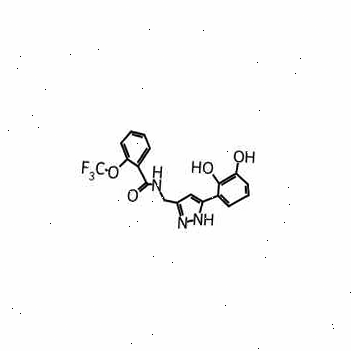 O=C(NCc1cc(-c2cccc(O)c2O)[nH]n1)c1ccccc1OC(F)(F)F